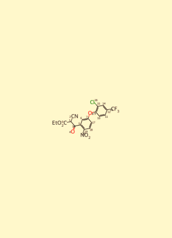 CCOC(=O)C(C#N)C(=O)c1cc(Oc2ccc(C(F)(F)F)cc2Cl)ccc1[N+](=O)[O-]